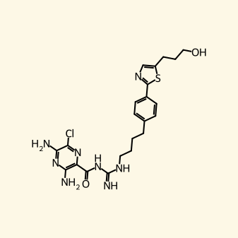 N=C(NCCCCc1ccc(-c2ncc(CCCO)s2)cc1)NC(=O)c1nc(Cl)c(N)nc1N